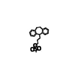 CS(=O)(=O)OCCCC1c2ccccc2CCc2ccccc21